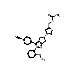 COc1ccccc1-n1nc2c(c1-c1ccc(C#N)cc1)C[C@H](n1cc(COC(C)=O)nn1)C2